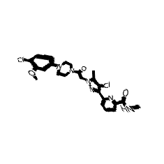 CNC(=O)c1cccc(-c2nn(CC(=O)N3CCN(c4ccc(Cl)c(OC)c4)CC3)c(C)c2Cl)n1